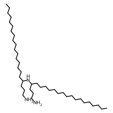 CCCCCCCCCCCCCCCCCC(CCCN)NC(CCCN)CCCCCCCCCCCCCCCCC